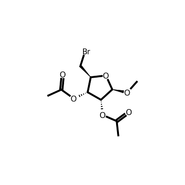 CO[C@@H]1O[C@H](CBr)[C@@H](OC(C)=O)[C@H]1OC(C)=O